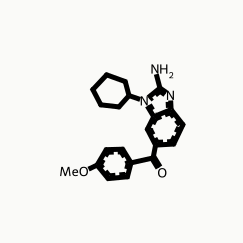 COc1ccc(C(=O)c2ccc3nc(N)n(C4CCCCC4)c3c2)cc1